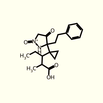 CCC(C(C)C(=O)O)C1(C2(CCc3ccccc3)N[N+](=O)CC2=O)CC1